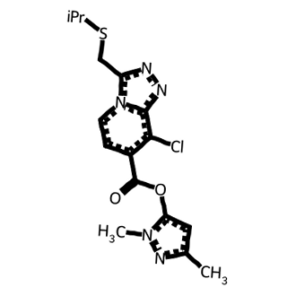 Cc1cc(OC(=O)c2ccn3c(CSC(C)C)nnc3c2Cl)n(C)n1